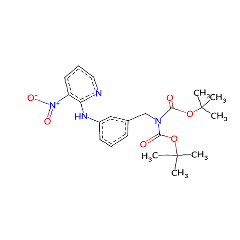 CC(C)(C)OC(=O)N(Cc1cccc(Nc2ncccc2[N+](=O)[O-])c1)C(=O)OC(C)(C)C